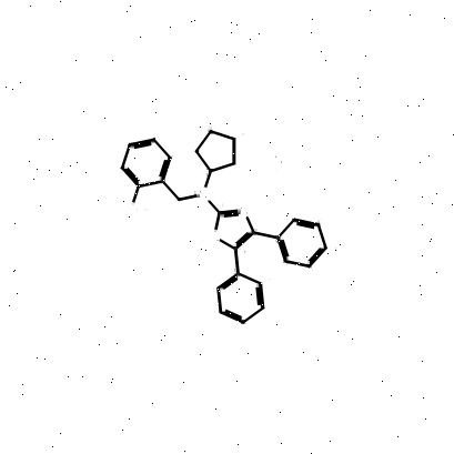 O=C([O-])c1ccccc1CN(c1nc(-c2ccccc2)c(-c2ccccc2)s1)C1CCCC1.[Na+]